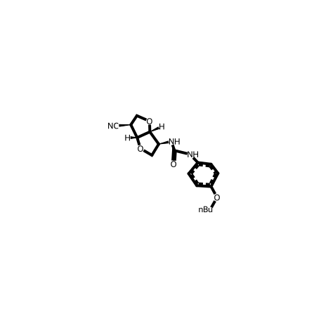 CCCCOc1ccc(NC(=O)N[C@H]2CO[C@H]3[C@@H]2OC[C@@H]3C#N)cc1